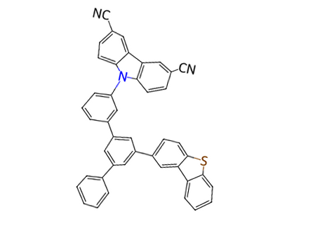 N#Cc1ccc2c(c1)c1cc(C#N)ccc1n2-c1cccc(-c2cc(-c3ccccc3)cc(-c3ccc4sc5ccccc5c4c3)c2)c1